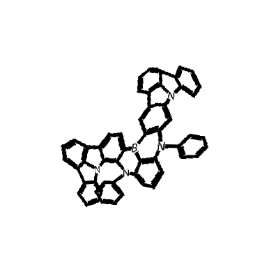 c1ccc(N2c3cc4c(cc3B3c5ccc6c7cccc8c9ccccc9n(c6c5N(c5ccccc5)c5cccc2c53)c87)c2cccc3c5ccccc5n4c32)cc1